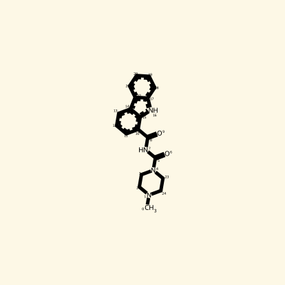 CN1CCN(C(=O)NC(=O)c2cccc3c2[nH]c2ccccc23)CC1